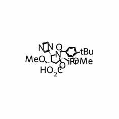 COC[C@H]1C[C@](CC(C)C)(OC(=O)O)N(C(=O)c2ccc(C(C)(C)C)c(OC)c2)[C@H]1c1cnccn1